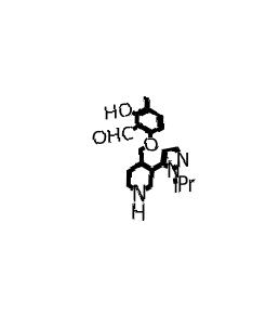 Cc1ccc(OCC2CCNCC2c2ccnn2C(C)C)c(C=O)c1O